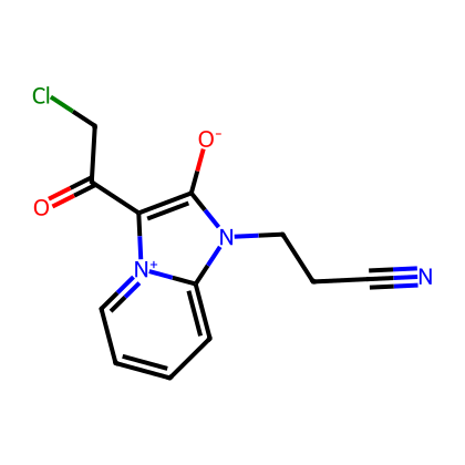 N#CCCn1c([O-])c(C(=O)CCl)[n+]2ccccc12